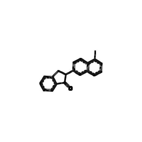 Cc1cccc2cc(C3Cc4ccccc4C3=O)ccc12